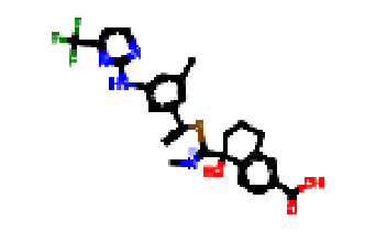 C=C(S/C(=N\C)C1(O)CCCc2cc(C(=O)O)ccc21)c1cc(C)cc(Nc2nccc(C(F)(F)F)n2)c1